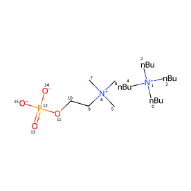 CCCC[N+](CCCC)(CCCC)CCCC.C[N+](C)(C)CCOP(=O)([O-])[O-]